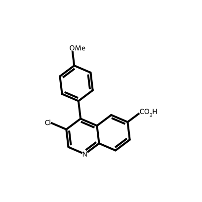 COc1ccc(-c2c(Cl)cnc3ccc(C(=O)O)cc23)cc1